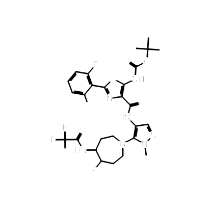 Cn1ncc(NC(=O)c2nc(-c3c(F)cccc3F)sc2NC(=O)OC(C)(C)C)c1N1CCC(F)C(NC(=O)C(F)(F)F)CC1